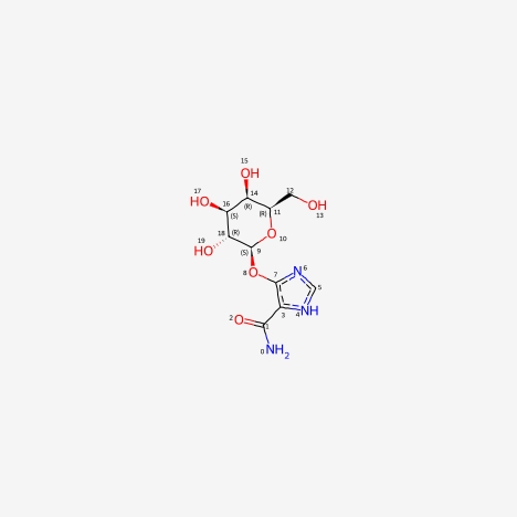 NC(=O)c1[nH]cnc1O[C@@H]1O[C@H](CO)[C@H](O)[C@H](O)[C@H]1O